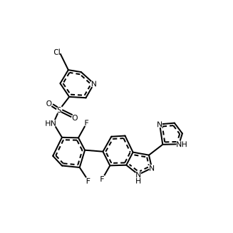 O=S(=O)(Nc1ccc(F)c(-c2ccc3c(-c4ncc[nH]4)n[nH]c3c2F)c1F)c1cncc(Cl)c1